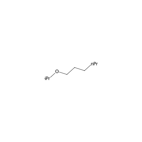 CCCCCCO[C](C)C